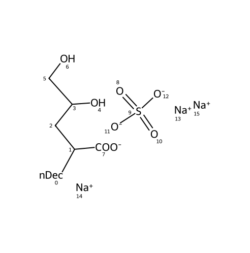 CCCCCCCCCCC(CC(O)CO)C(=O)[O-].O=S(=O)([O-])[O-].[Na+].[Na+].[Na+]